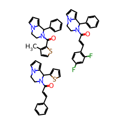 Cc1ccsc1C(=O)N1CCn2cccc2C1c1ccccc1.O=C(C=Cc1ccc(F)cc1F)N1CCn2cccc2C1c1ccccc1.O=C(C=Cc1ccccc1)N1CCn2cccc2C1c1cccs1